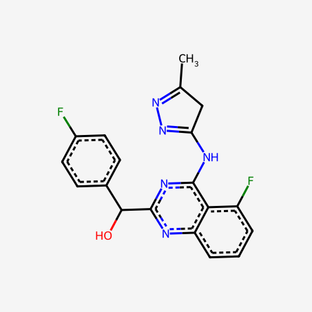 CC1=NN=C(Nc2nc(C(O)c3ccc(F)cc3)nc3cccc(F)c23)C1